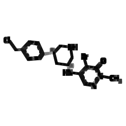 Cn1ncc(N[C@H]2CNC[C@@H](c3ccc(CCl)cc3)C2)c(Br)c1=O